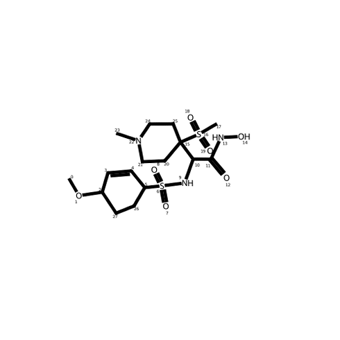 COC1C=CC(S(=O)(=O)NC(C(=O)NO)C2(S(C)(=O)=O)CCN(C)CC2)CC1